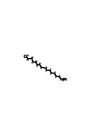 CC(C)CCCCCCCCCCCCCCCCl